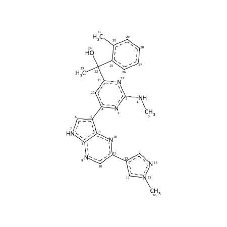 CNc1nc(-c2c[nH]c3ncc(-c4cnn(C)c4)nc23)cc(C(C)(O)c2ccccc2C)n1